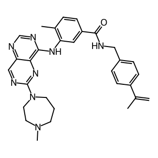 C=C(C)c1ccc(CNC(=O)c2ccc(C)c(Nc3ncnc4cnc(N5CCCN(C)CC5)nc34)c2)cc1